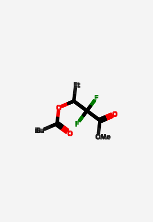 CCC(C)C(=O)OC(CC)C(F)(F)C(=O)OC